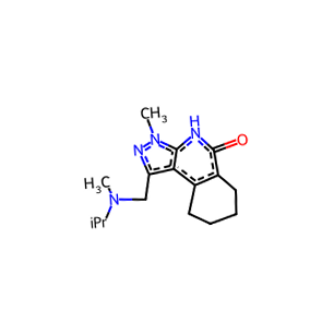 CC(C)N(C)Cc1nn(C)c2[nH]c(=O)c3c(c12)CCCC3